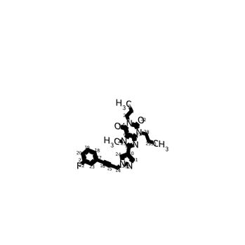 CCCn1c(=O)c2c(nc(-c3cnn(CC#Cc4cccc(F)c4)c3)n2C)n(CCC)c1=O